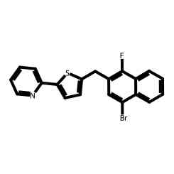 Fc1c(Cc2ccc(-c3ccccn3)s2)cc(Br)c2ccccc12